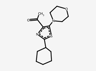 CC(=O)c1nc(C2CCCCC2)sc1N1CCOCC1